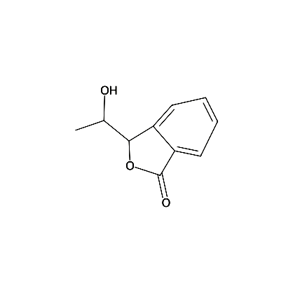 CC(O)C1OC(=O)c2ccccc21